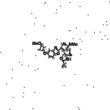 CNc1ncc(-c2nc3cc(O[C@H]4C[C@H](OC)C4)ccc3o2)c2cc(NC(=O)C3CC3)ncc12